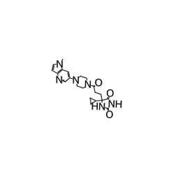 Cn1ccc2ncc(N3CCN(C(=O)CCC4(C5CC5)NC(=O)NC4=O)CC3)cc21